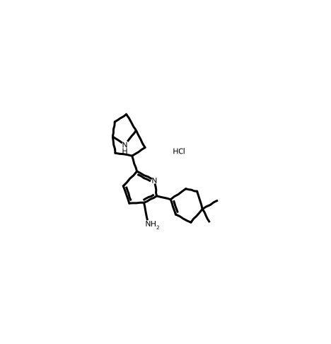 CC1(C)CC=C(c2nc(C3CC4CCC(C3)N4)ccc2N)CC1.Cl